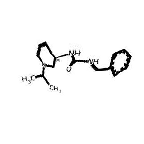 CC(C)N1CCC[C@@H](NC(=O)NCc2ccccc2)C1